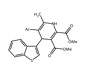 COC(=O)C1=C(C(=O)OC)C(c2csc3ccccc23)C(C(C)=O)=C(C)N1